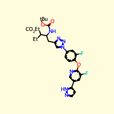 CCOC(=O)C(CC)C(Cc1cn(-c2ccc(Oc3ncc(-c4ccn[nH]4)cc3F)c(F)c2)nn1)NC(=O)OC(C)(C)C